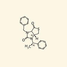 C[C@H](c1ccccc1)N1C(=O)N(Cc2ccccc2)C2C(=O)SC[C@@H]21